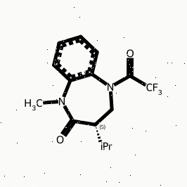 CC(C)[C@H]1CN(C(=O)C(F)(F)F)c2ccccc2N(C)C1=O